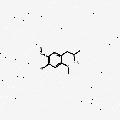 COc1cc(CC(C)N)c(OC)cc1S